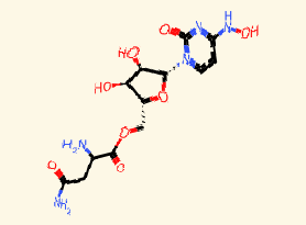 NC(=O)CC(N)C(=O)OC[C@H]1O[C@@H](n2ccc(NO)nc2=O)[C@H](O)[C@@H]1O